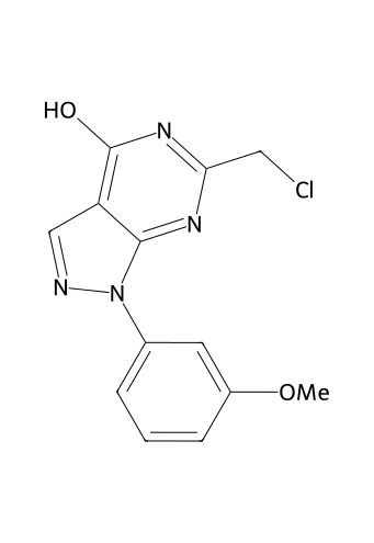 COc1cccc(-n2ncc3c(O)nc(CCl)nc32)c1